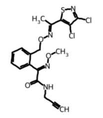 C#CCNC(=O)/C(=N/OC)c1ccccc1CO/N=C(\C)c1snc(Cl)c1Cl